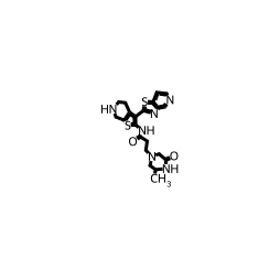 CC1CN(CCC(=O)Nc2sc3c(c2-c2nc4cnccc4s2)CCNC3)CC(=O)N1